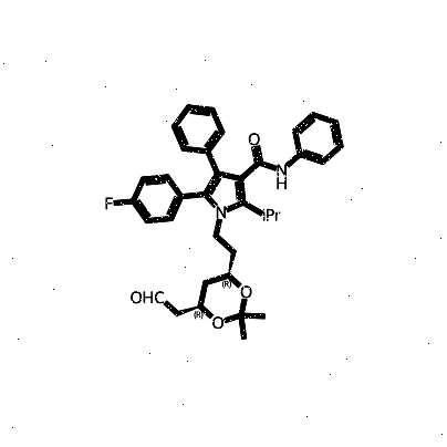 CC(C)c1c(C(=O)Nc2ccccc2)c(-c2ccccc2)c(-c2ccc(F)cc2)n1CC[C@@H]1C[C@H](CC=O)OC(C)(C)O1